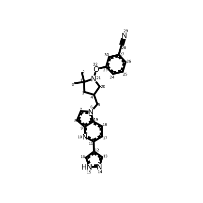 CC1(C)CC(Cn2ccc3nc(-c4cn[nH]c4)ccc32)CN1Oc1cccc(C#N)c1